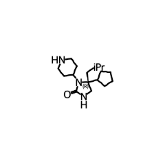 CC(C)C[C@@]1(C2CCCC2)CNC(=O)N1C1CCNCC1